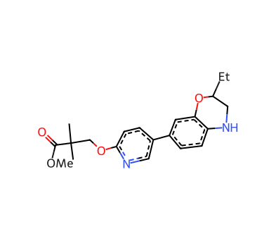 CCC1CNc2ccc(-c3ccc(OCC(C)(C)C(=O)OC)nc3)cc2O1